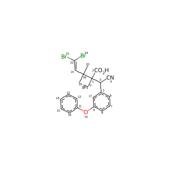 CC(C)C(C(=O)O)(C(C#N)c1cccc(Oc2ccccc2)c1)C(C)(C)C=C(Br)Br